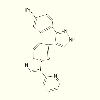 C[C](C)c1ccc(-c2n[nH]cc2-c2ccc3ncc(-c4ccccn4)n3c2)cc1